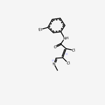 CCc1cccc(NC(=O)/C(Cl)=C(Cl)\C=N/C)c1